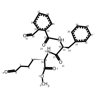 COC(=O)[C@H](CCCC=O)NC(=O)[C@H](Cc1ccccc1)NC(=O)c1ccccc1C=O